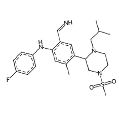 Cc1cc(Nc2ccc(F)cc2)c(C=N)cc1C1CN(S(C)(=O)=O)CCN1CC(C)C